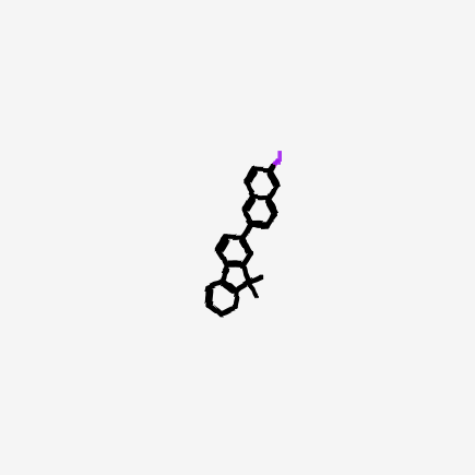 CC1(C)C2=C(C=CCC2)c2ccc(-c3ccc4cc(I)ccc4c3)cc21